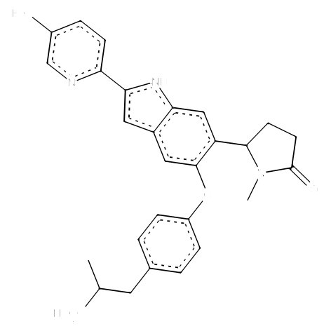 CC(Cc1ccc(Oc2cc3cc(-c4ccc(C(F)(F)F)cn4)[nH]c3cc2C2CCC(=O)N2C)cc1)C(=O)O